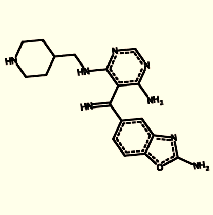 N=C(c1ccc2oc(N)nc2c1)c1c(N)ncnc1NCC1CCNCC1